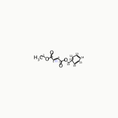 CCOC(=O)/C=C/C(=O)OCc1ccccc1